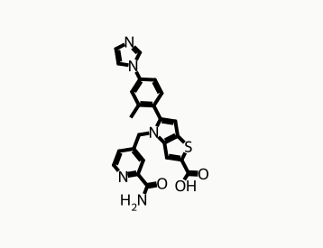 Cc1cc(-n2ccnc2)ccc1-c1cc2sc(C(=O)O)cc2n1Cc1ccnc(C(N)=O)c1